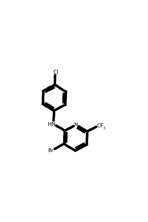 FC(F)(F)c1ccc(Br)c(Nc2ccc(Cl)cc2)n1